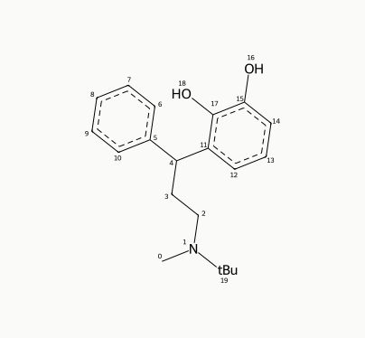 CN(CCC(c1ccccc1)c1cccc(O)c1O)C(C)(C)C